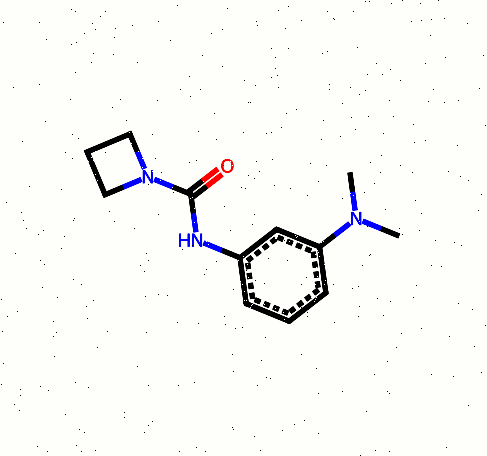 CN(C)c1cccc(NC(=O)N2CCC2)c1